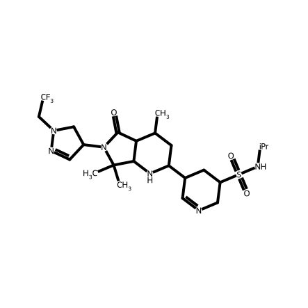 CC(C)NS(=O)(=O)C1CN=CC(C2CC(C)C3C(=O)N(C4C=NN(CC(F)(F)F)C4)C(C)(C)C3N2)C1